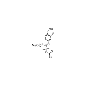 CCC(=O)OC(C)(C)N(Oc1ccc(CO)c(F)c1)PCOC